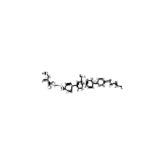 C=C(CO)C(=O)OCCOC1C=CC(c2ccc(-c3ccc(C4CCC(CC/C=C/C)CC4)cc3)c(CC)c2)=CC1